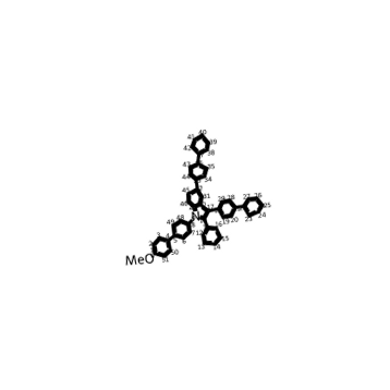 COc1ccc(-c2ccc(-n3c(-c4ccccc4)c(-c4ccc(-c5ccccc5)cc4)c4cc(-c5ccc(-c6ccccc6)cc5)ccc43)cc2)cc1